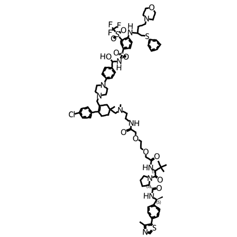 Cc1ncsc1-c1ccc([C@H](C)NC(=O)[C@@H]2CCCN2C(=O)[C@@H](NC(=O)COCCOCC(=O)NCCN(C)CC2(C)CCC(c3ccc(Cl)cc3)=C(CN3CCN(c4ccc(C(O)NS(=O)(=O)c5ccc(NC(CCN6CCOCC6)CSc6ccccc6)c(S(=O)(=O)C(F)(F)F)c5)cc4)CC3)C2)C(C)(C)C)cc1